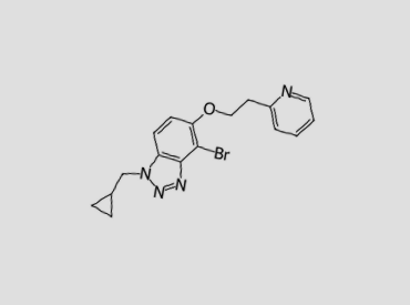 Brc1c(OCCc2ccccn2)ccc2c1nnn2CC1CC1